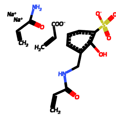 C=CC(=O)NCc1cccc(S(=O)(=O)[O-])c1O.C=CC(=O)[O-].C=CC(N)=O.[Na+].[Na+]